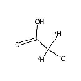 [2H]C([2H])(Cl)C(=O)O